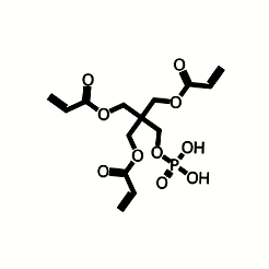 C=CC(=O)OCC(COC(=O)C=C)(COC(=O)C=C)COP(=O)(O)O